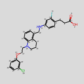 O=C(O)CCc1ccc(NCc2cccc3c2CCCN3CCOc2cccc(Cl)c2)cc1F